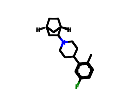 Cc1ccc(F)cc1C1CCN(C2C[C@H]3CC[C@H]2C3)CC1